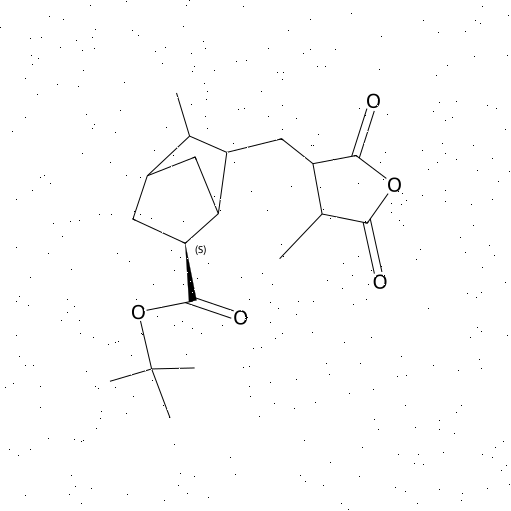 CC1C(=O)OC(=O)C1CC1C(C)C2CC1[C@@H](C(=O)OC(C)(C)C)C2